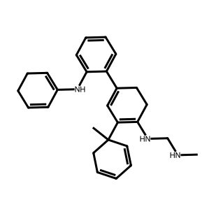 CNCNC1=C(C2(C)C=CC=CC2)C=C(c2ccccc2NC2=CCCC=C2)CC1